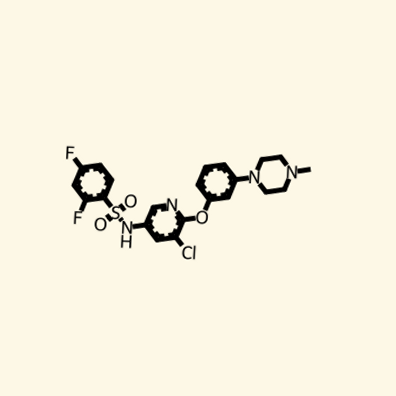 CN1CCN(c2cccc(Oc3ncc(NS(=O)(=O)c4ccc(F)cc4F)cc3Cl)c2)CC1